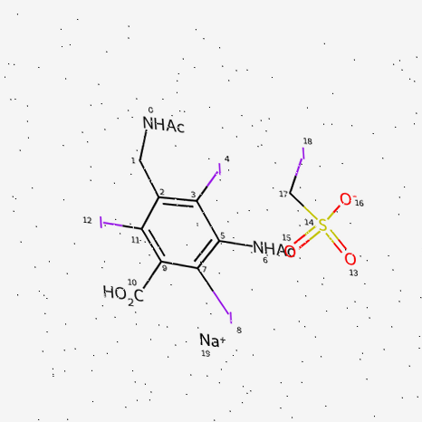 CC(=O)NCc1c(I)c(NC(C)=O)c(I)c(C(=O)O)c1I.O=S(=O)([O-])CI.[Na+]